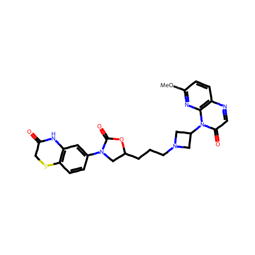 COc1ccc2ncc(=O)n(C3CN(CCCC4CN(c5ccc6c(c5)NC(=O)CS6)C(=O)O4)C3)c2n1